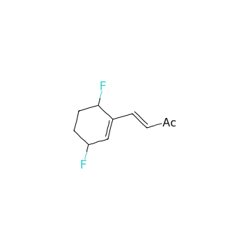 CC(=O)C=CC1=CC(F)CCC1F